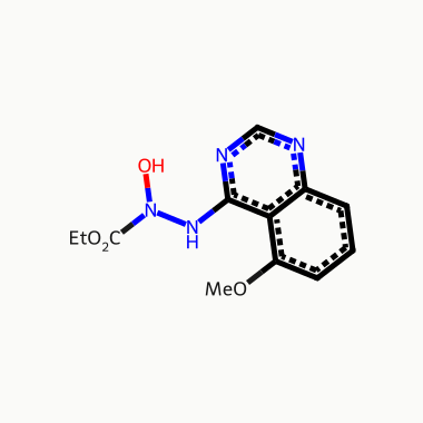 CCOC(=O)N(O)Nc1ncnc2cccc(OC)c12